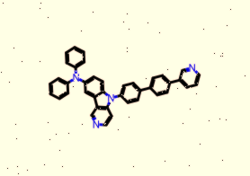 c1ccc(N(c2ccccc2)c2ccc3c(c2)c2cnccc2n3-c2ccc(-c3ccc(-c4cccnc4)cc3)cc2)cc1